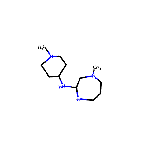 CN1CCC(NC2CN(C)CCC[N]2)CC1